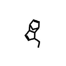 CCC1C=CC2C3C=CC(C3)C12